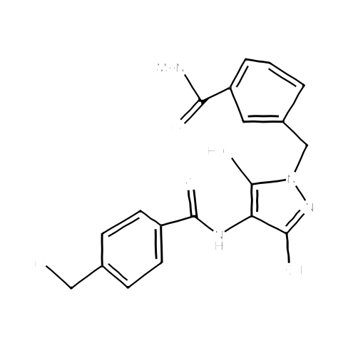 CNC(=O)c1cccc(Cn2nc(C)c(NC(=O)c3ccc(CCl)cc3)c2C)c1